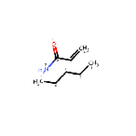 C=CC(N)=O.CCCCC